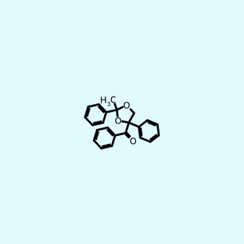 CC1(c2ccccc2)OCC(C(=O)c2ccccc2)(c2ccccc2)O1